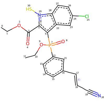 CCOC(=O)c1c(P(=O)(OCC)c2cccc(/C=C/C#N)c2)c2cc(Cl)ccc2n1S